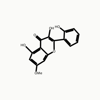 COc1cc(O)c2c(=O)c(O)c(-c3ccccc3O)oc2c1